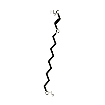 CC=COCCCCCCCCCC